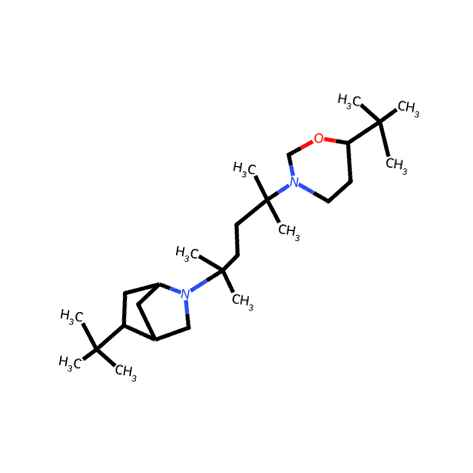 CC(C)(C)C1CCN(C(C)(C)CCC(C)(C)N2CC3CC2CC3C(C)(C)C)CO1